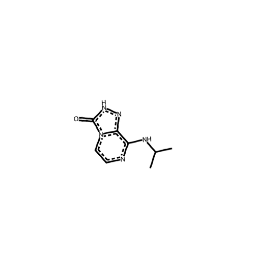 CC(C)Nc1nccn2c(=O)[nH]nc12